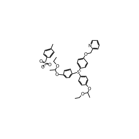 CCOC(C)Oc1ccc([S+](c2ccc(OCc3ccccn3)cc2)c2ccc(OC(C)OCC)cc2)cc1.Cc1ccc(S(=O)(=O)[O-])cc1